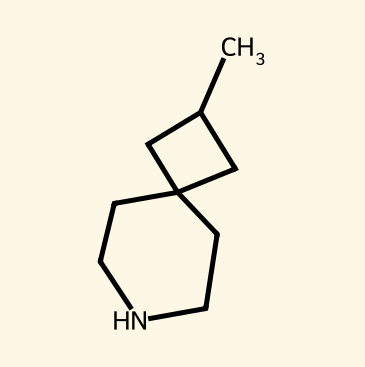 CC1CC2(CCNCC2)C1